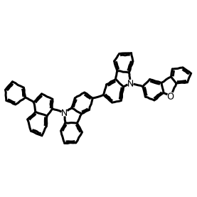 c1ccc(-c2ccc(-n3c4ccccc4c4cc(-c5ccc6c(c5)c5ccccc5n6-c5ccc6oc7ccccc7c6c5)ccc43)c3ccccc23)cc1